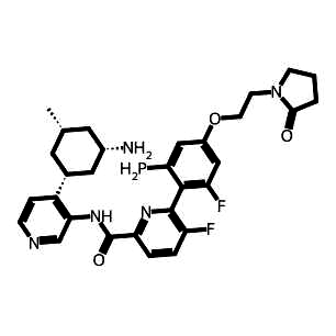 C[C@@H]1C[C@H](N)C[C@H](c2ccncc2NC(=O)c2ccc(F)c(-c3c(F)cc(OCCN4CCCC4=O)cc3P)n2)C1